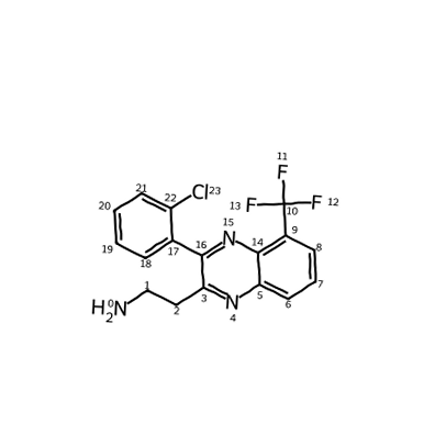 NCCc1nc2cccc(C(F)(F)F)c2nc1-c1ccccc1Cl